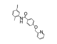 Cc1ccc(I)cc1NC(=O)c1ccc(OCc2ccccn2)cc1